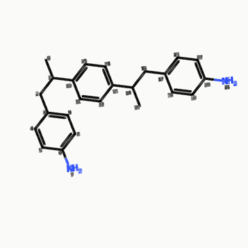 CC(Cc1ccc(N)cc1)c1ccc(C(C)Cc2ccc(N)cc2)cc1